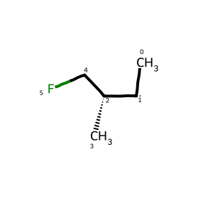 C[CH][C@H](C)CF